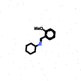 COc1ccccc1C=NC1CCCCC1